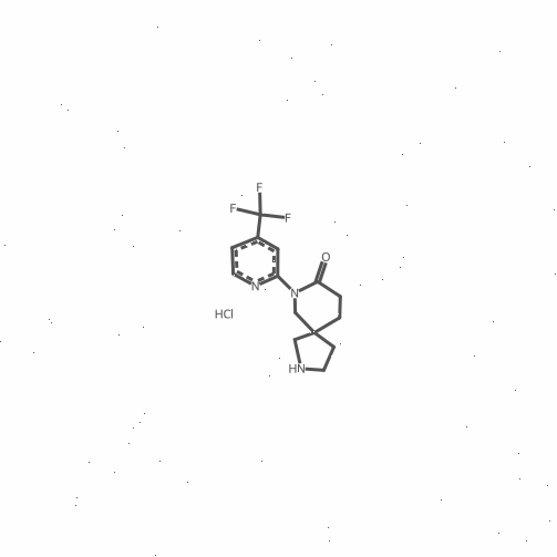 Cl.O=C1CCC2(CCNC2)CN1c1cc(C(F)(F)F)ccn1